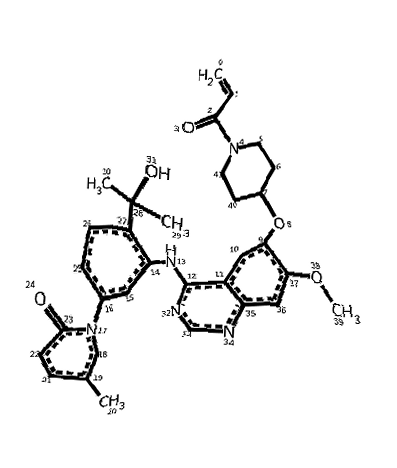 C=CC(=O)N1CCC(Oc2cc3c(Nc4cc(-n5cc(C)ccc5=O)ccc4C(C)(C)O)ncnc3cc2OC)CC1